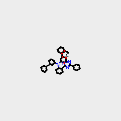 c1ccc(-c2cccc(N(c3cccc(-c4ccccc4)c3)c3ccccc3-c3nc(-c4ccccc4)nc(-c4ccccc4)n3)c2)cc1